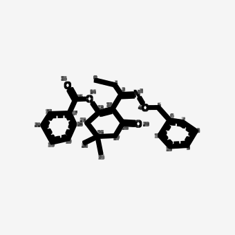 CCC(=NOCc1ccccc1)C1=C(OC(=O)c2ccccc2)CC(C)(C)CC1=O